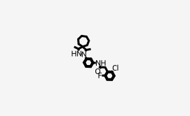 CC1NN(c2cccc(NC(=O)Cc3c(F)cccc3Cl)c2)C(C)C12CCCCCC2